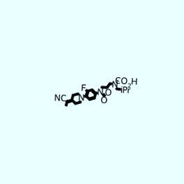 CC(C#N)=C1CCN(c2ccc(N3CC(CN(CC(C)C)C(=O)O)OC3=O)cc2F)CC1